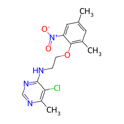 Cc1cc(C)c(OCCNc2ncnc(C)c2Cl)c([N+](=O)[O-])c1